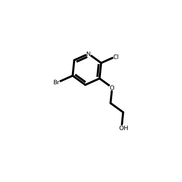 OCCOc1cc(Br)cnc1Cl